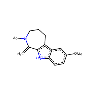 C=C1c2[nH]c3ccc(OC)cc3c2CCCN1C(C)=O